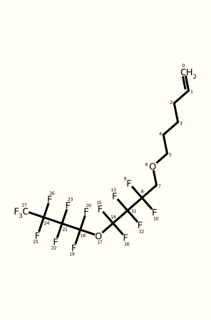 C=CCCCCOCC(F)(F)C(F)(F)C(F)(F)OC(F)(F)C(F)(F)C(F)(F)C(F)(F)F